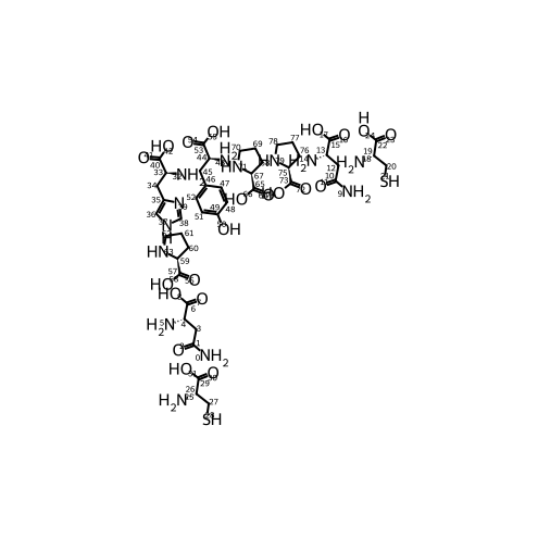 NC(=O)C[C@H](N)C(=O)O.NC(=O)C[C@H](N)C(=O)O.N[C@@H](CS)C(=O)O.N[C@@H](CS)C(=O)O.N[C@@H](Cc1c[nH]cn1)C(=O)O.N[C@@H](Cc1ccc(O)cc1)C(=O)O.O=C(O)[C@@H]1CCCN1.O=C(O)[C@@H]1CCCN1.O=C(O)[C@@H]1CCCN1